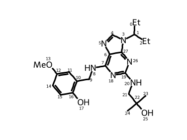 CCC(CC)n1cnc2c(NCc3cc(OC)ccc3O)nc(NCC(C)(C)O)nc21